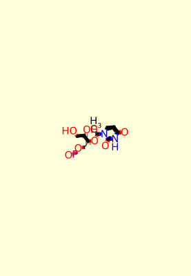 C[C@@H](O[C@H](COP=O)[C@@H](O)CO)n1ccc(=O)[nH]c1=O